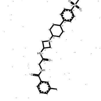 Cc1cccc(C(=O)NCC(=O)NC2CN(C3CCC(c4ccc(S(C)(=O)=O)cc4)CC3)C2)c1